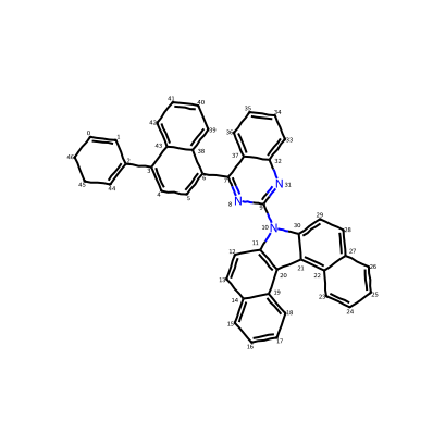 C1=CC(c2ccc(-c3nc(-n4c5ccc6ccccc6c5c5c6ccccc6ccc54)nc4ccccc34)c3ccccc23)=CCC1